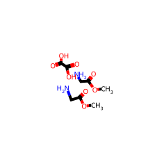 COC(=O)CN.COC(=O)CN.O=C(O)C(=O)O